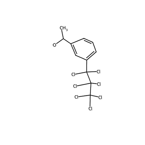 CC([O])c1cccc(C(Cl)(Cl)C(Cl)(Cl)C(Cl)(Cl)Cl)c1